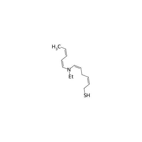 C/C=C\C=C/N(/C=C\C/C=C\CS)CC